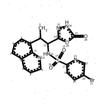 CC(c1cccc2cccnc12)C(NS(=O)(=O)c1ccc(Br)cn1)c1n[nH]c(=O)o1